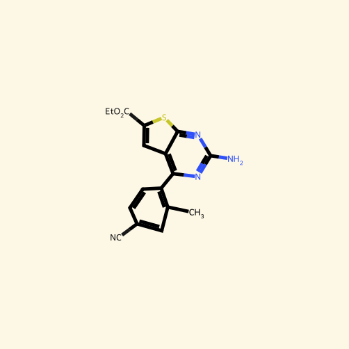 CCOC(=O)c1cc2c(-c3ccc(C#N)cc3C)nc(N)nc2s1